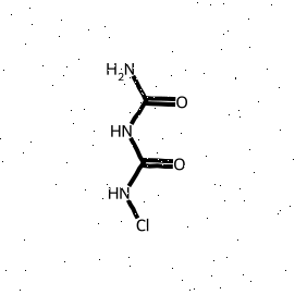 NC(=O)NC(=O)NCl